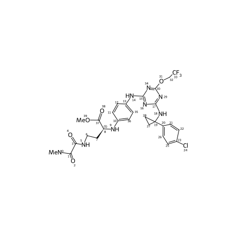 CNC(=O)C(=O)NCC[C@H](Nc1ccc(Nc2nc(NC3(c4ccc(Cl)cc4)CC3)nc(OCC(F)(F)F)n2)cc1)C(=O)OC